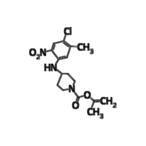 C=C(C)OC(=O)N1CCC(Nc2cc(C)c(Cl)cc2[N+](=O)[O-])CC1